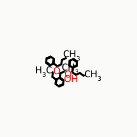 CCCCC(OC(C)Cc1cccc(O)c1CC(C)OC(CCCC)c1ccccc1)c1ccccc1